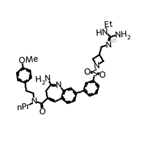 CCCN(CCc1ccc(OC)cc1)C(=O)C1=Cc2ccc(-c3cccc(S(=O)(=O)N4CC(C/N=C(/N)NCC)C4)c3)cc2N=C(N)C1